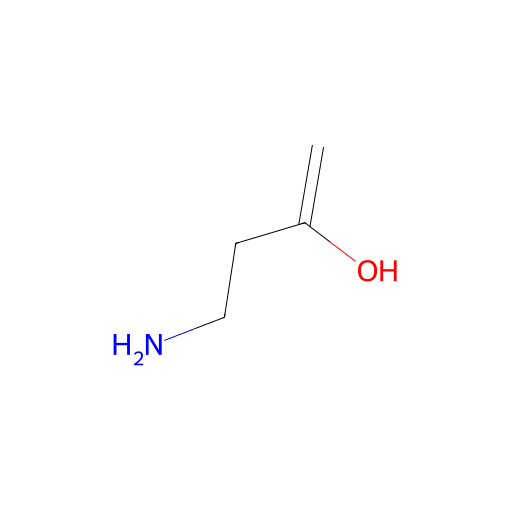 C=C(O)CCN